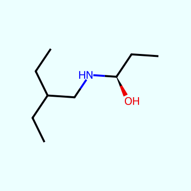 CCC(CC)CN[C@H](O)CC